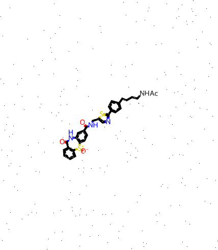 CC(=O)NCCCCc1ccc(-c2ncc(CNC(=O)c3ccc4c(c3)NC(=O)c3ccccc3[S+]4[O-])s2)cc1